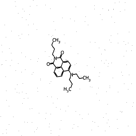 CCCCN1C(=O)c2cccc3c(N(CCC)CCC)ccc(c23)C1=O